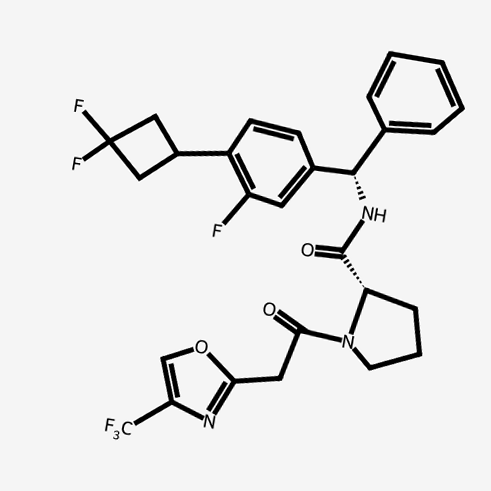 O=C(N[C@@H](c1ccccc1)c1ccc(C2CC(F)(F)C2)c(F)c1)[C@@H]1CCCN1C(=O)Cc1nc(C(F)(F)F)co1